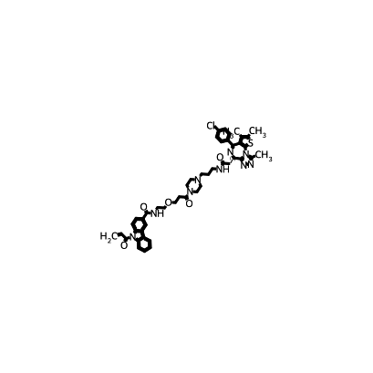 C=CC(=O)n1c2ccccc2c2cc(C(=O)NCCOCCC(=O)N3CCN(CCCNC(=O)C[C@@H]4N=C(c5ccc(Cl)cc5)c5c(sc(C)c5C)-n5c(C)nnc54)CC3)ccc21